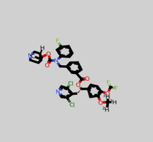 [2H]C([2H])([2H])Oc1cc([C@H](Cc2c(Cl)cncc2Cl)OC(=O)c2cccc(CN(C(=O)O[C@H]3CN4CCC3CC4)c3cccc(F)c3)c2)ccc1OC(F)F